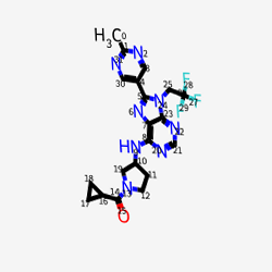 Cc1ncc(-c2nc3c(NC4CCN(C(=O)C5CC5)C4)ncnc3n2CC(F)(F)F)cn1